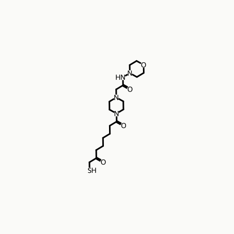 O=C(CS)CCCCCC(=O)N1CCN(CC(=O)NN2CCOCC2)CC1